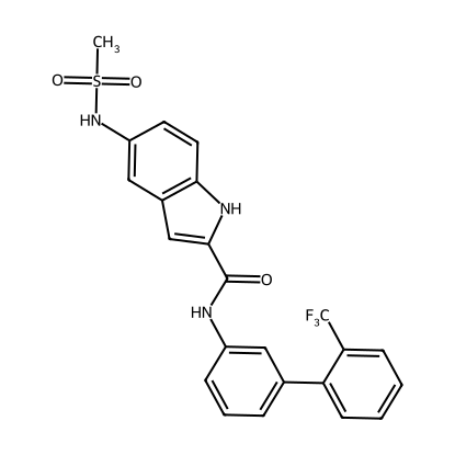 CS(=O)(=O)Nc1ccc2[nH]c(C(=O)Nc3cccc(-c4ccccc4C(F)(F)F)c3)cc2c1